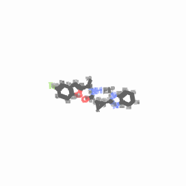 CCn1c([C@H]2C[C@@H]2C(=O)N[C@H](C)c2cc3cc(F)ccc3o2)nc2ccccc21